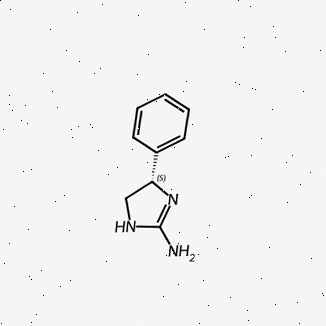 NC1=N[C@@H](c2ccccc2)CN1